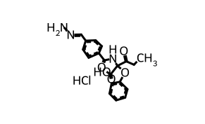 CCC(=O)C(NC(=O)c1ccc(C=NN)cc1)(Oc1ccccc1)C(=O)O.Cl